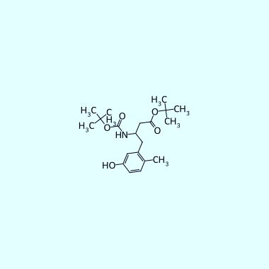 Cc1ccc(O)cc1CC(CC(=O)OC(C)(C)C)NC(=O)OC(C)(C)C